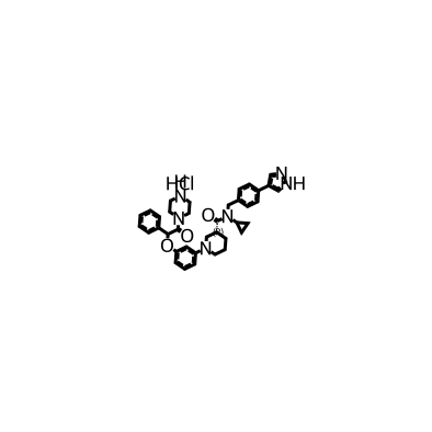 Cl.O=C(C(Oc1cccc(N2CCC[C@@H](C(=O)N(Cc3ccc(-c4cn[nH]c4)cc3)C3CC3)C2)c1)c1ccccc1)N1CCNCC1